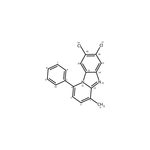 Cc1ccc(-c2ccccc2)n2c1nc1cc(Cl)c(Cl)cc12